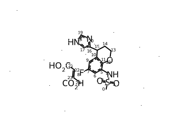 CS(=O)(=O)Nc1cc(F)cc2c1OCCC2c1c[nH]cn1.O=C(O)C=CC(=O)O